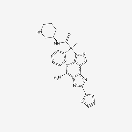 CC(C(=O)N[C@@H]1CCCNC1)(c1ccccc1)n1ncc2c1nc(N)n1nc(-c3cc#co3)nc21